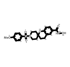 COc1ccc(S(=O)(=O)N2CCC3(CCc4cc(C(=O)NO)ccc4O3)CC2)cc1